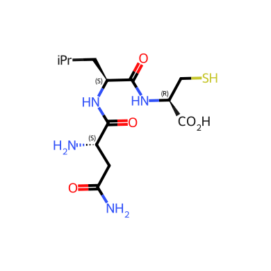 CC(C)C[C@H](NC(=O)[C@@H](N)CC(N)=O)C(=O)N[C@@H](CS)C(=O)O